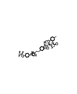 CCOc1ccc(C)cc1N1C(=O)CS/C1=N\C(O)Nc1ccc(CCc2ncn(-c3ccc(OC(F)(F)F)cc3)n2)cc1